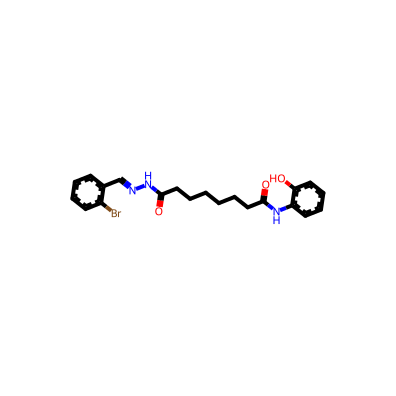 O=C(CCCCCCC(=O)Nc1ccccc1O)N/N=C/c1ccccc1Br